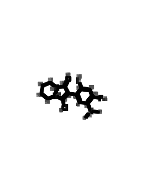 CN(C)c1cc(-c2c(Cl)n3n(c2=O)CCCC3)c(F)cc1F